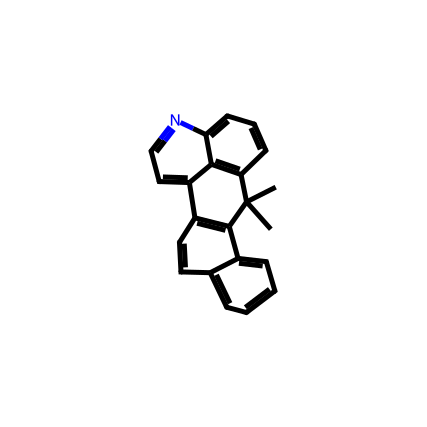 CC1(C)c2c(ccc3ccccc23)-c2ccnc3cccc1c23